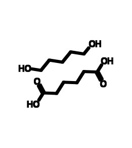 O=C(O)CCCCC(=O)O.OCCCCCO